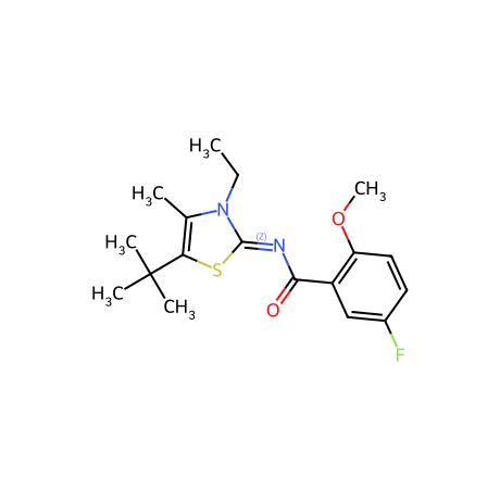 CCn1c(C)c(C(C)(C)C)s/c1=N\C(=O)c1cc(F)ccc1OC